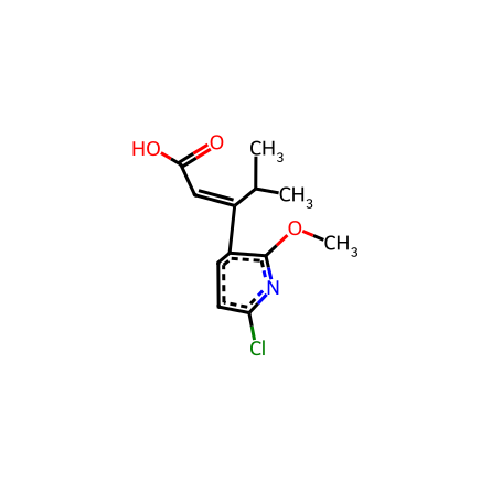 COc1nc(Cl)ccc1C(=CC(=O)O)C(C)C